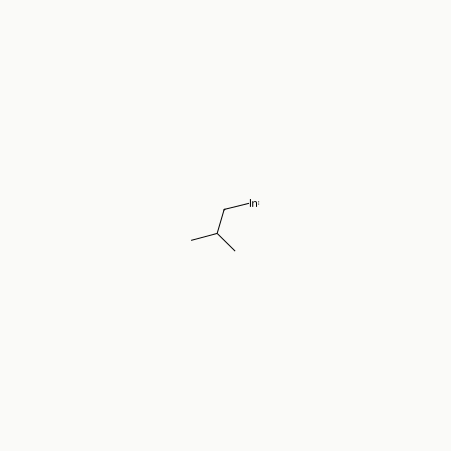 CC(C)[CH2][In]